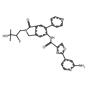 CC(C)(O)C(F)CN1Cc2cc(NC(=O)c3coc(-c4ccnc(N)c4)n3)c(-c3ccncc3)cc2C1=O